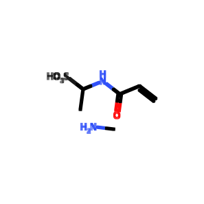 C=CC(=O)NC(C)S(=O)(=O)O.CN